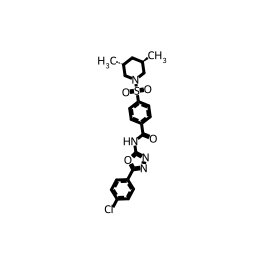 C[C@@H]1C[C@@H](C)CN(S(=O)(=O)c2ccc(C(=O)Nc3nnc(-c4ccc(Cl)cc4)o3)cc2)C1